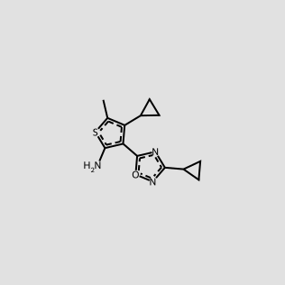 Cc1sc(N)c(-c2nc(C3CC3)no2)c1C1CC1